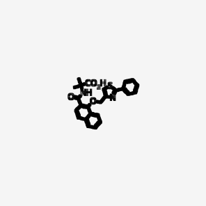 CC(C)(NC(=O)c1ccc2ccccc2c1OCc1csc(-c2ccccc2)n1)C(=O)O